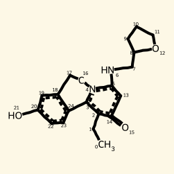 CCc1c2n(c(NCC3CCCO3)cc1=O)CCc1cc(O)ccc1-2